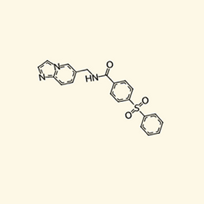 O=C(NCc1ccc2nccn2c1)c1ccc(S(=O)(=O)c2ccccc2)cc1